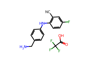 N#Cc1cc(F)ccc1Nc1ccc(CN)cc1.O=C(O)C(F)(F)F